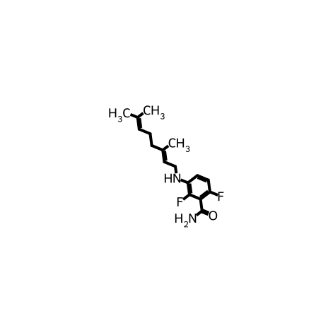 CC(C)=CCC/C(C)=C/CNc1ccc(F)c(C(N)=O)c1F